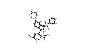 CSC1=NC(c2cn(S(=O)(=O)c3ccccc3)c3nc(N4CCOCC4)ccc23)=C(C(F)(F)F)CN1